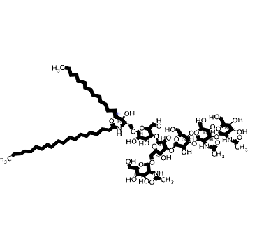 CCCCCCCCCCCCC/C=C/[C@@H](O)[C@H](CO[C@@H]1OC(CO)[C@@H](O[C@@H]2OC(CO[C@@H]3OC(CO)[C@@H](O)[C@H](O)C3NC(C)=O)[C@H](O)[C@H](O[C@H]3OC(CO)[C@H](O)[C@H](O[C@@H]4OC(CO)[C@H](O)[C@H](O[C@H]5OC(CO)[C@H](O)[C@H](O)C5NC(C)=O)C4NC(C)=O)C3O)C2O)[C@H](O)C1O)NC(=O)CCCCCCCCCCCCCCCCCCC